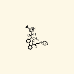 CC(C(=O)Nc1cc(C2CC2)[nH]n1)c1cccc(-c2ccccc2NC(=O)/C=C/CN2CCOCC2)c1